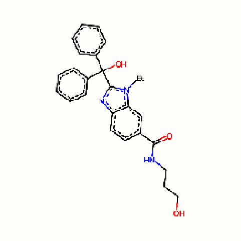 CCn1c(C(O)(c2ccccc2)c2ccccc2)nc2ccc(C(=O)NCCCO)cc21